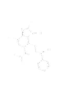 Cc1nc2c(O)cc(C(=O)N(C)C)c(CC[C@@H](O)c3ccccc3)c2n1C